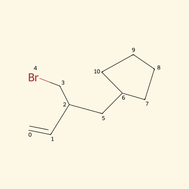 C=CC(CBr)CC1CCCC1